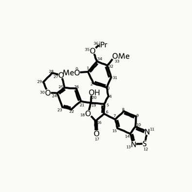 COc1cc(CC2=C(c3ccc4nsnc4c3)C(=O)OC2(O)c2ccc3c(c2)OCCO3)cc(OC)c1OC(C)C